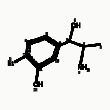 CCc1ccc(C(O)C(C)N)cc1O